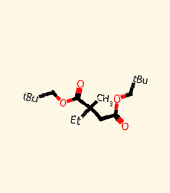 CCC(C)(CC(=O)OCC(C)(C)C)C(=O)OCC(C)(C)C